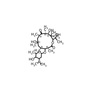 CC(O)C1OC(=O)[C@H](C)C(OC2CC(N(C)C)C(O)C(C)O2)[C@H](C)C[C@](C)(O)C[C@@H](C)C(=O)[C@H](C)[C@@H](O)C1(C)C